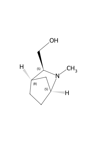 CN1[C@H]2CC[C@H](C2)[C@H]1CO